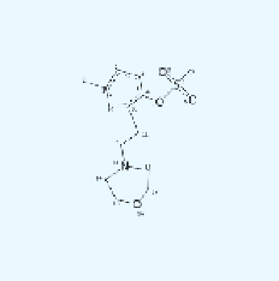 Cc1ccc(OS(C)(=O)=O)c(CCN2CCOCC2)c1